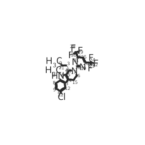 CC(C)C[C@H]1c2[nH]c3ccc(Cl)cc3c2CCN1c1nc(C(F)(F)F)cc(C(F)(F)F)n1